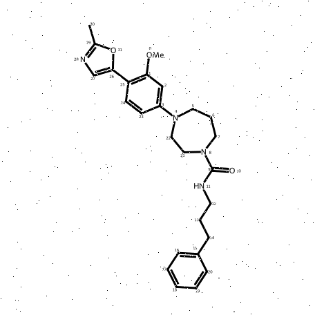 COc1cc(N2CCCN(C(=O)NCCCc3ccccc3)CC2)ccc1-c1cnc(C)o1